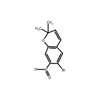 CC1(C)C=Cc2cc(Br)c([N+](=O)[O-])cc2O1